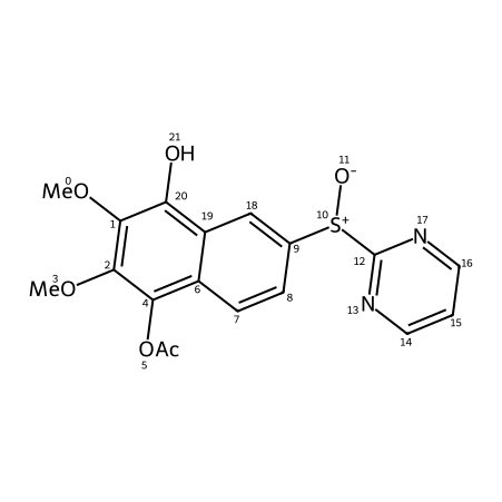 COc1c(OC)c(OC(C)=O)c2ccc([S+]([O-])c3ncccn3)cc2c1O